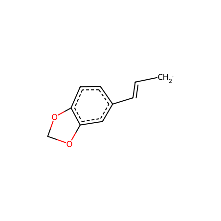 [CH2]/C=C/c1ccc2c(c1)OCO2